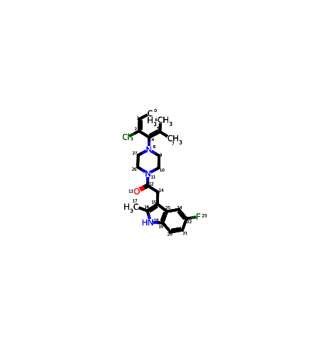 C/C=C(/Cl)C(=C(C)C)N1CCN(C(=O)Cc2c(C)[nH]c3ccc(F)cc23)CC1